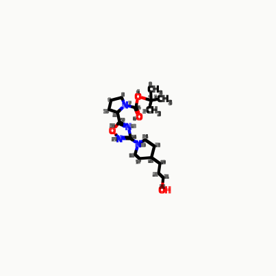 CC(C)(C)OC(=O)N1CCCC1c1nc(N2CCC(CCCO)CC2)no1